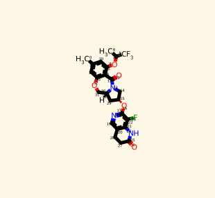 Cc1cc2c(c(OC(C)C(F)(F)F)c1)C(=O)N1C[C@@H](Oc3ncc4c(c3F)NC(=O)CC4)C[C@@H]1CO2